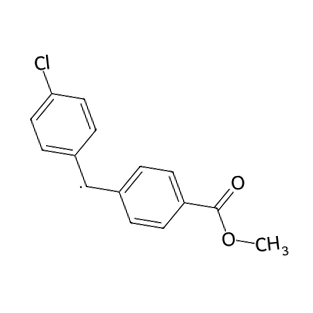 COC(=O)c1ccc([CH]c2ccc(Cl)cc2)cc1